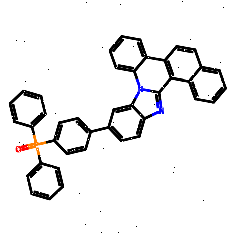 O=P(c1ccccc1)(c1ccccc1)c1ccc(-c2ccc3nc4c5c6ccccc6ccc5c5ccccc5n4c3c2)cc1